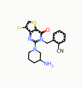 N#Cc1ccccc1Cn1c(N2CCCC(N)C2)nc2c(F)csc2c1=O